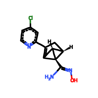 N/C(=N\O)[C@]12C3=C(c4cc(Cl)ccn4)C[C@@H]1[C@H]32